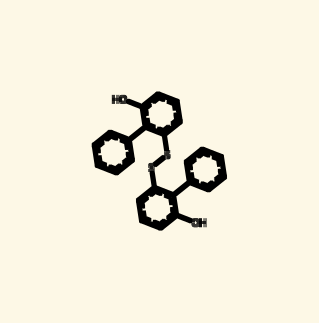 Oc1cccc(SSc2cccc(O)c2-c2ccccc2)c1-c1ccccc1